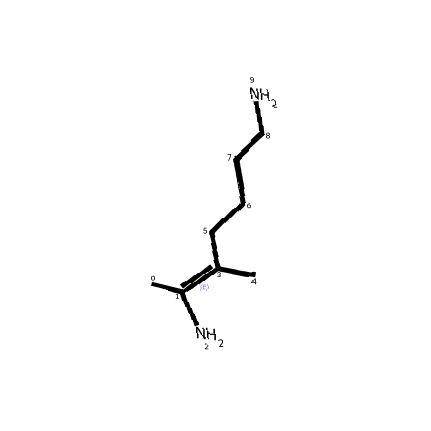 C/C(N)=C(/C)CCCCN